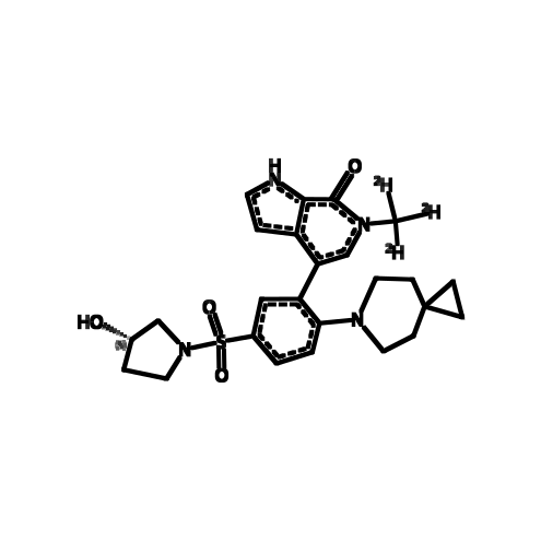 [2H]C([2H])([2H])n1cc(-c2cc(S(=O)(=O)N3CC[C@H](O)C3)ccc2N2CCC3(CC2)CC3)c2cc[nH]c2c1=O